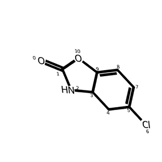 O=C1NC2[CH]C(Cl)=CC=C2O1